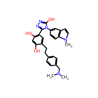 CN(C)Cc1ccc(CCc2cc(-c3nnc(O)n3-c3ccc4c(ccn4C)c3)c(O)cc2O)cc1